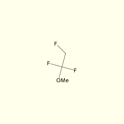 COC(F)(F)CF